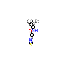 CCOC(=O)CC1CCc2ccc(NC(=O)c3ccc(C=NN4CCSCC4)cc3)cc2C1